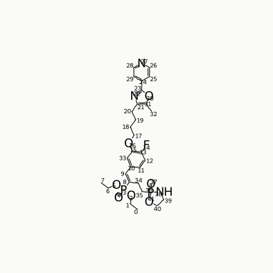 CCOP(=O)(OCC)C(=Cc1ccc(F)c(OCCCCc2nc(-c3ccncc3)oc2C)c1)CCP1(=O)NCCO1